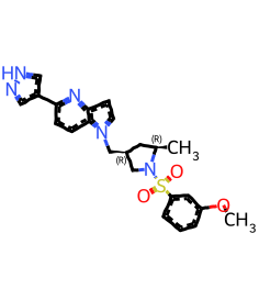 COc1cccc(S(=O)(=O)N2C[C@@H](Cn3ccc4nc(-c5cn[nH]c5)ccc43)C[C@H]2C)c1